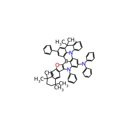 CC1(C)CCC(C)(C)c2cc3c4c(oc3cc21)B1c2cc(-c3ccccc3)cc3c2N(c2ccccc2C3(C)C)c2cc(N(c3ccccc3)c3ccccc3)cc(c21)N4c1ccccc1